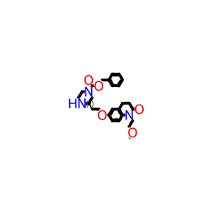 COCCN1C(=O)CCc2cc(OCC[C@@H]3CN(C(=O)OCc4ccccc4)CCN3)ccc21